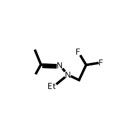 CCN(CC(F)F)N=C(C)C